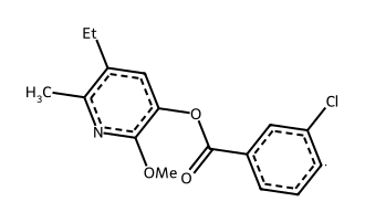 CCc1cc(OC(=O)c2cc[c]c(Cl)c2)c(OC)nc1C